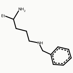 CCC(N)CCCNCc1ccccc1